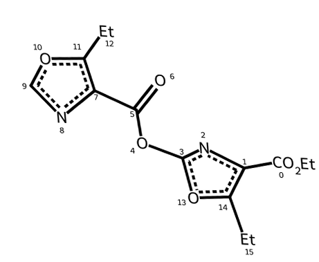 CCOC(=O)c1nc(OC(=O)c2ncoc2CC)oc1CC